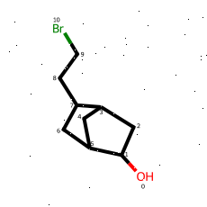 OC1CC2CC1CC2CCBr